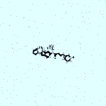 CN1CCC[C@@H]1c1cc2cnc(NC(=O)CCCC3CCCNC3)cc2[nH]1.Cl.Cl